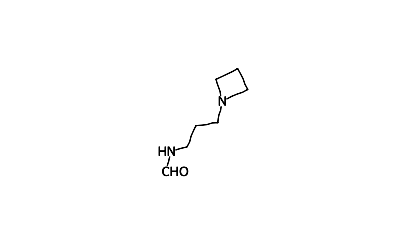 O=CNCCCN1CCC1